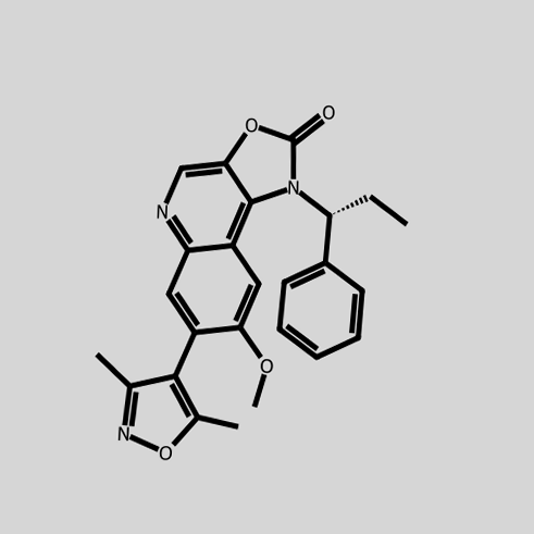 CC[C@H](c1ccccc1)n1c(=O)oc2cnc3cc(-c4c(C)noc4C)c(OC)cc3c21